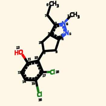 CCc1c2c(nn1C)CC(c1c(O)ccc(Cl)c1Cl)C2